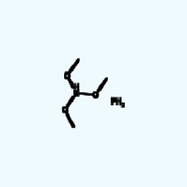 CO[SiH](OC)OC.P